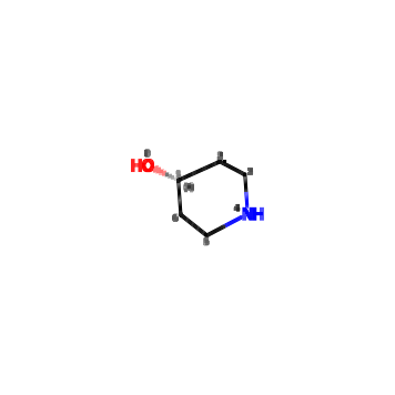 O[C@@H]1[CH]CNCC1